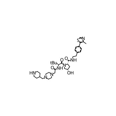 Cc1ncsc1-c1ccc(CCNC(=O)[C@@H]2C[C@H](O)CN2C(=O)[C@@H](NC(=O)CN2CCN(CC3CCNCC3)CC2)C(C)(C)C)cc1